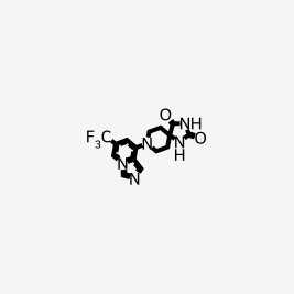 O=C1NC(=O)C2(CCN(c3cc(C(F)(F)F)cn4cncc34)CC2)N1